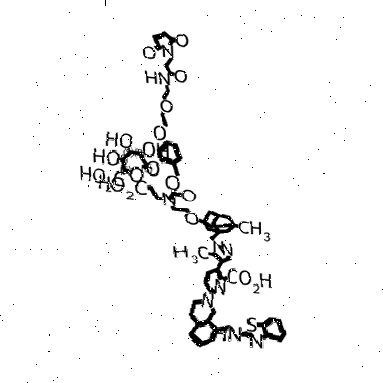 Cc1c(-c2ccc(N3CCc4cccc(CNc5nc6ccccc6s5)c4C3)nc2C(=O)O)cnn1CC12CC3CC(C)(C1)CC(OCCN(CCC(=O)O)C(=O)OCc1ccc(OCCOCCNC(=O)CCN4C(=O)C=CC4=O)cc1O[C@@H]1O[C@H](C(=O)O)[C@@H](O)[C@H](O)[C@H]1O)(C3)C2